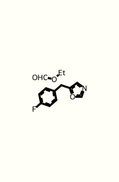 CCOC=O.Fc1ccc(Cc2cnco2)cc1